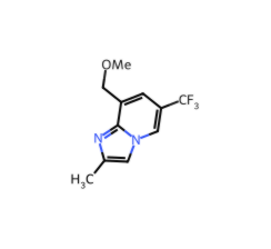 COCc1cc(C(F)(F)F)cn2cc(C)nc12